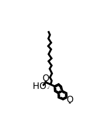 CCCCCCCCCCCCCC[C@](C)(C(=O)O)c1ccc2cc(OC)ccc2c1